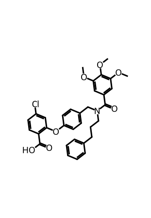 COc1cc(C(=O)N(CCCc2ccccc2)Cc2ccc(Oc3cc(Cl)ccc3C(=O)O)cc2)cc(OC)c1OC